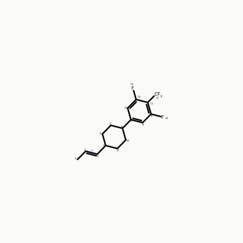 C/C=C/C1CCC(c2cc(F)c(C(F)(F)F)c(F)c2)CC1